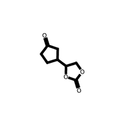 O=C1CCC(C2COC(=O)O2)C1